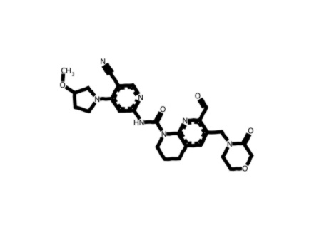 COC1CCN(c2cc(NC(=O)N3CCCc4cc(CN5CCOCC5=O)c(C=O)nc43)ncc2C#N)C1